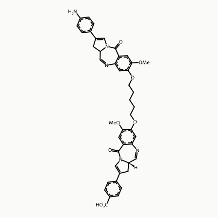 COc1cc2c(cc1OCCCCCOc1cc3c(cc1OC)C(=O)N1C=C(c4ccc(C(=O)O)cc4)C[C@H]1C=N3)N=CC1CC(c3ccc(N)cc3)=CN1C2=O